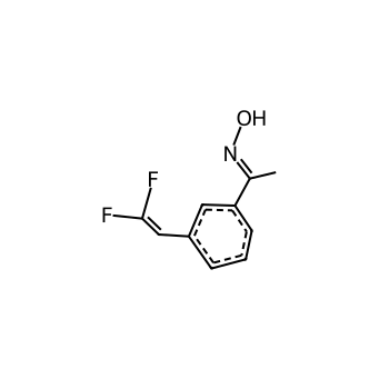 CC(=NO)c1cccc(C=C(F)F)c1